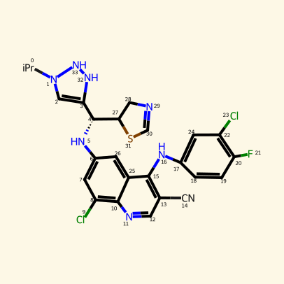 CC(C)N1C=C([C@@H](Nc2cc(Cl)c3ncc(C#N)c(Nc4ccc(F)c(Cl)c4)c3c2)C2CN=CS2)NN1